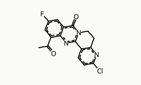 CC(=O)c1cc(F)cc2c(=O)n3c(nc12)-c1ccc(Cl)nc1CC3